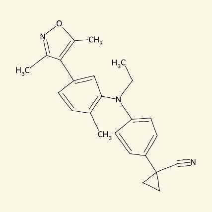 CCN(c1ccc(C2(C#N)CC2)cc1)c1cc(-c2c(C)noc2C)ccc1C